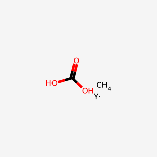 C.O=C(O)O.[Y]